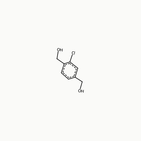 OCc1ccc(CO)c(Cl)c1